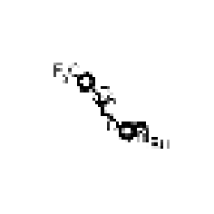 Cc1oc(-c2ccc(C(F)(F)F)cc2)nc1CCOc1ccc2c(ccn2C(C)(C)C)c1